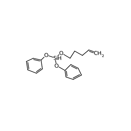 C=CCCCO[SiH](Oc1ccccc1)Oc1ccccc1